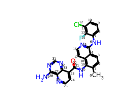 Cc1ccc2c(Nc3cccc(Cl)c3F)nccc2c1NC(=O)c1ccnc2c(N)ncnc12